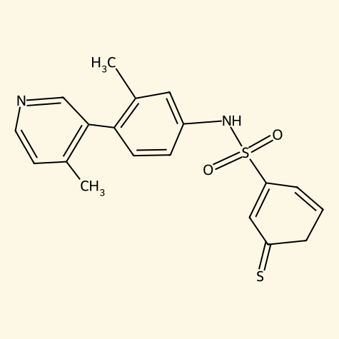 Cc1cc(NS(=O)(=O)C2=CC(=S)CC=C2)ccc1-c1cnccc1C